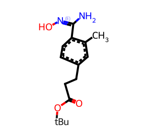 Cc1cc(CCC(=O)OC(C)(C)C)ccc1/C(N)=N\O